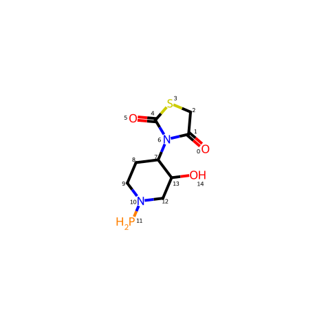 O=C1CSC(=O)N1C1CCN(P)CC1O